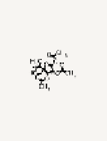 CC(=O)O[C@H]1O[C@@](CO)(C(C)=O)[C@@H](OC(C)=O)[C@H]1OC(C)=O